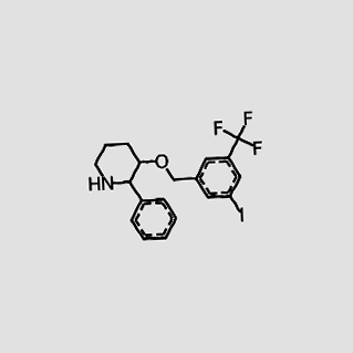 FC(F)(F)c1cc(I)cc(COC2CCCNC2c2ccccc2)c1